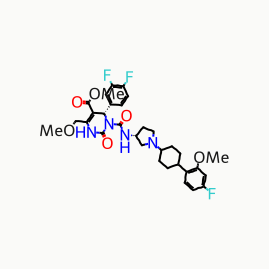 COCC1=C(C(=O)OC)[C@H](c2ccc(F)c(F)c2)N(C(=O)N[C@@H]2CCN(C3CCC(c4ccc(F)cc4OC)CC3)C2)C(=O)N1